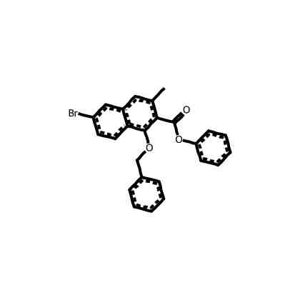 Cc1cc2cc(Br)ccc2c(OCc2ccccc2)c1C(=O)Oc1ccccc1